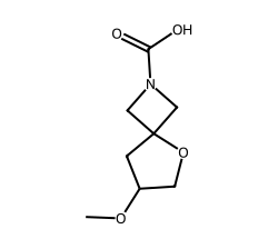 COC1COC2(C1)CN(C(=O)O)C2